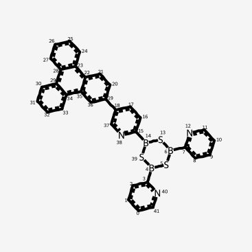 c1ccc(B2SB(c3ccccn3)SB(c3ccc(-c4ccc5c6ccccc6c6ccccc6c5c4)cn3)S2)nc1